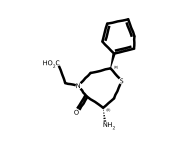 N[C@H]1CS[C@H](c2ccccc2)CN(CC(=O)O)C1=O